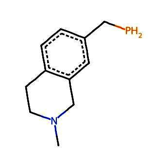 CN1CCc2ccc(CP)cc2C1